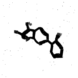 N#Cc1sc2nc(-c3ccccc3F)ccc2c1N